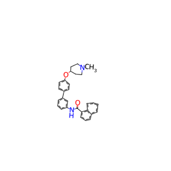 CN1CCC(Oc2ccc(-c3cccc(NC(=O)c4cccc5ccccc45)c3)cc2)CC1